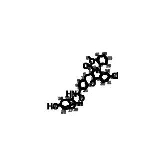 COC(=O)c1c(Cc2ccc(C(=O)NC3C4CC5C[C@@H]3CC(O)(C5)C4)cc2)c(=O)c2ccc(Cl)cc2n1-c1ccccc1